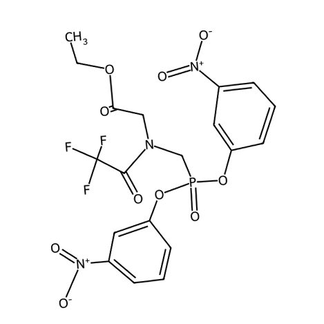 CCOC(=O)CN(CP(=O)(Oc1cccc([N+](=O)[O-])c1)Oc1cccc([N+](=O)[O-])c1)C(=O)C(F)(F)F